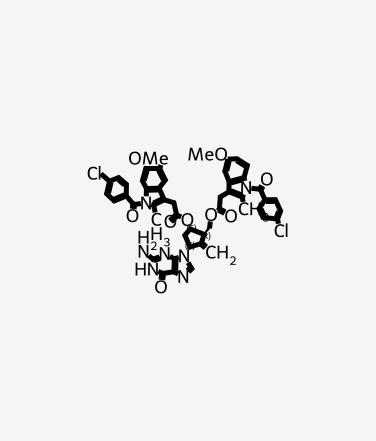 C=C1[C@H](COC(=O)Cc2c(C)n(C(=O)c3ccc(Cl)cc3)c3ccc(OC)cc23)[C@@H](OC(=O)Cc2c(C)n(C(=O)c3ccc(Cl)cc3)c3ccc(OC)cc23)C[C@@H]1n1cnc2c(=O)[nH]c(N)nc21